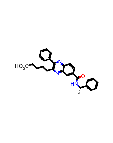 C[C@H](NC(=O)c1ccc2nc(-c3ccccc3)c(CCCCC(=O)O)nc2c1)c1ccccc1